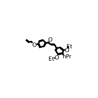 C=CCOc1ccc(C(=O)/C=C/c2cc(OCC)c(CCC)c(OCC)c2)cc1